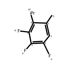 Cc1cc(F)c(F)c(F)c1C(C)C